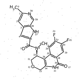 Cc1cc2cc(C(=O)N(C)[C@@H]3COCc4[nH]c(=O)c5cc(F)c(F)cc5c43)[nH]c2cn1